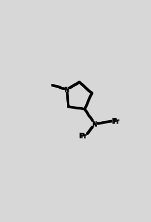 CC(C)N(C(C)C)C1CCN(C)C1